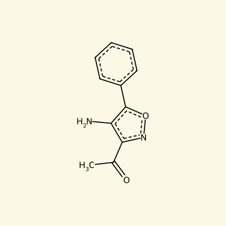 CC(=O)c1noc(-c2ccccc2)c1N